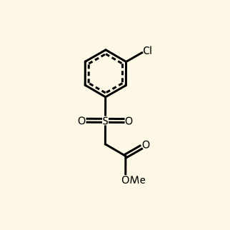 COC(=O)CS(=O)(=O)c1cccc(Cl)c1